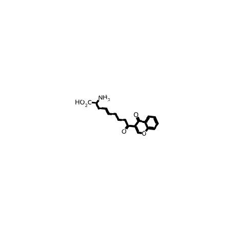 NC(CCCCCCC(=O)c1coc2ccccc2c1=O)C(=O)O